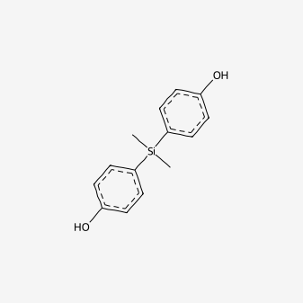 C[Si](C)(c1ccc(O)cc1)c1ccc(O)cc1